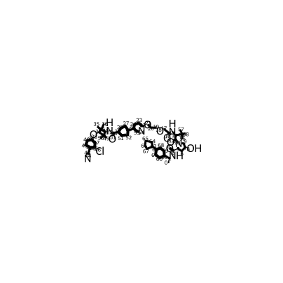 C[C@H](NC(=O)[C@@H]1C[C@@H](O)CN1C(=O)[C@@H](NC(=O)COCCOc1ccc(-c2ccc(C(=O)N[C@H]3C(C)(C)[C@H](Oc4ccc(C#N)c(Cl)c4)C3(C)C)cc2)cn1)C(C)(C)C)c1ccc(C2CCCC2)cc1